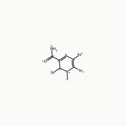 [2H]C1=C([2H])N(C)C([2H])C(C(N)=O)=C1